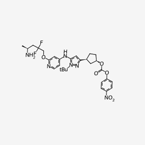 C[C@H](N)CC(F)(F)COc1cc(Nc2cc([C@H]3CC[C@@H](OC(=O)Oc4ccc([N+](=O)[O-])cc4)C3)nn2C(C)(C)C)ccn1